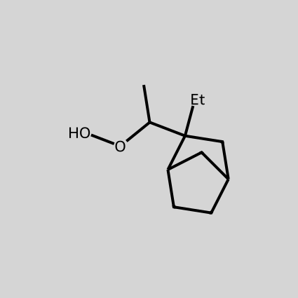 CCC1(C(C)OO)CC2CCC1C2